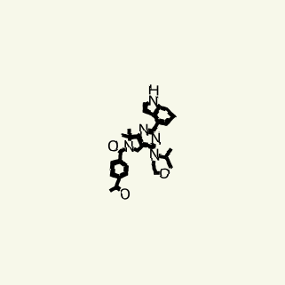 CC(=O)c1ccc(C(=O)N2Cc3c(N4CCOCC4C)nc(-c4cccc5[nH]ccc45)nc3C2(C)C)cc1